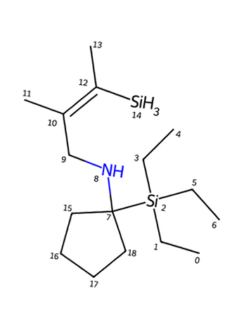 CC[Si](CC)(CC)C1(NCC(C)=C(C)[SiH3])CCCC1